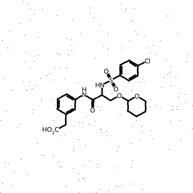 O=C(O)Cc1cccc(NC(=O)C(COC2CCCCO2)NS(=O)(=O)c2ccc(Cl)cc2)c1